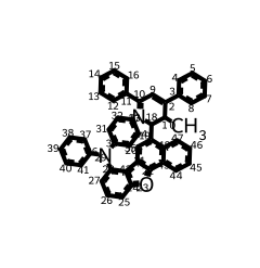 CC1C(c2ccccc2)=CC(c2ccccc2)=NC1c1cc2c(oc3cccc(N(c4ccccc4)c4ccccc4)c32)c2ccccc12